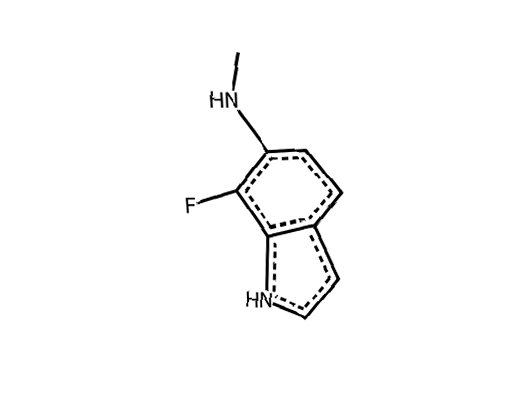 CNc1ccc2cc[nH]c2c1F